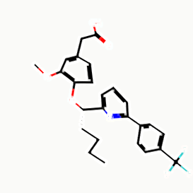 CCCC[C@H](Oc1ccc(CC(=O)O)cc1OC)c1cccc(-c2ccc(C(F)(F)F)cc2)n1